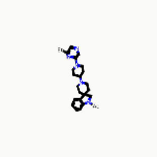 CCc1cncc(N2CCC(N3CCC4(CC3)CN(C(C)=O)c3ccccc34)CC2)n1